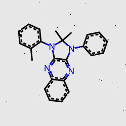 Cc1ccccc1N1c2nc3ccccc3nc2N(c2ccccc2)C1(C)C